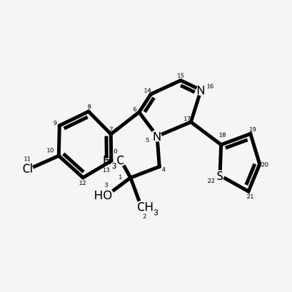 CC(C)(O)CN1C(c2ccc(Cl)cc2)=CC=NC1c1cccs1